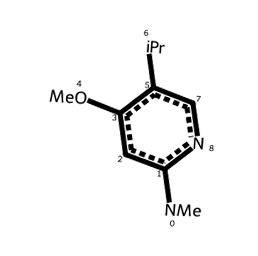 CNc1cc(OC)c(C(C)C)cn1